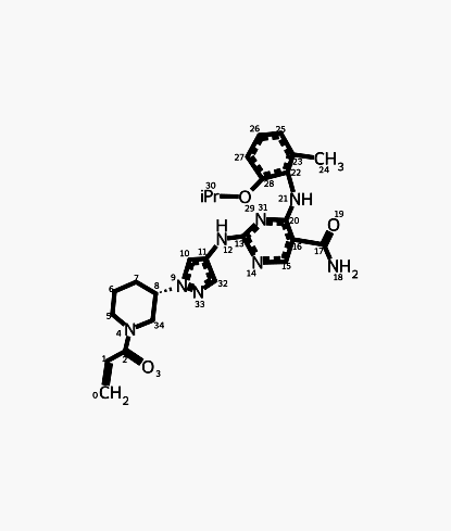 C=CC(=O)N1CCC[C@H](n2cc(Nc3ncc(C(N)=O)c(Nc4c(C)cccc4OC(C)C)n3)cn2)C1